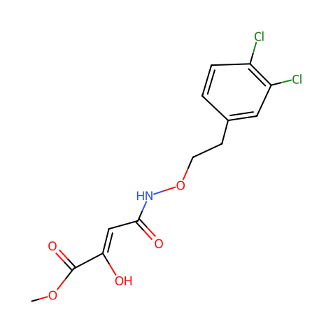 COC(=O)C(O)=CC(=O)NOCCc1ccc(Cl)c(Cl)c1